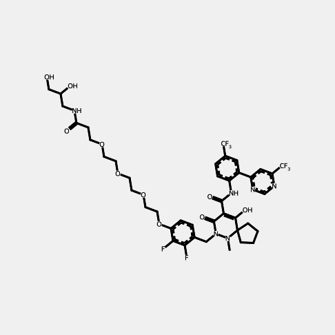 CN1N(Cc2ccc(OCCOCCOCCOCCC(=O)NCC(O)CO)c(F)c2F)C(=O)C(C(=O)Nc2ccc(C(F)(F)F)cc2-c2cc(C(F)(F)F)ncn2)=C(O)C12CCCC2